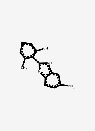 Cc1cccc(C)c1-c1nc2ccc(N)cc2[nH]1